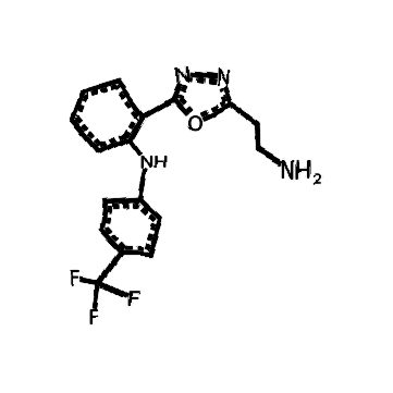 NCCc1nnc(-c2ccccc2Nc2ccc(C(F)(F)F)cc2)o1